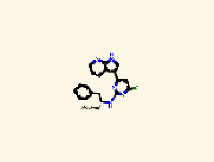 COC[C@H](Cc1ccccc1)Nc1nc(Cl)cc(-c2c[nH]c3ncccc23)n1